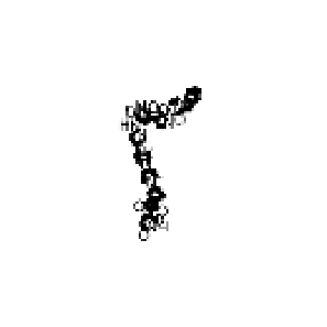 COc1ncc(-c2ccnc(N3CCn4c(cc5c4CC(C)(C)C5)C3=O)c2[C@H](C)O)cc1Nc1ccc(N2CCN(C3CCN(c4ccc5c(c4)C(=O)N([C@H]4CCC(=O)NC4=O)C5=O)[C@@H](C)C3)C[C@@H]2C)cn1